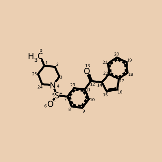 CC1CCN([S+]([O-])c2cccc(C(=O)C3C=Cc4ccccc43)c2)CC1